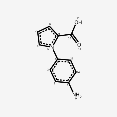 Nc1ccc(-n2cccc2C(=O)O)cc1